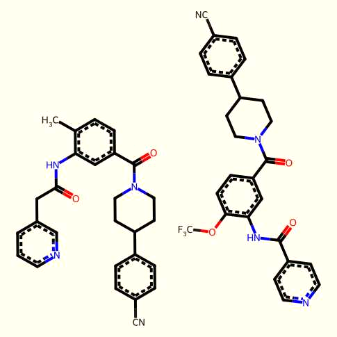 Cc1ccc(C(=O)N2CCC(c3ccc(C#N)cc3)CC2)cc1NC(=O)Cc1cccnc1.N#Cc1ccc(C2CCN(C(=O)c3ccc(OC(F)(F)F)c(NC(=O)c4ccncc4)c3)CC2)cc1